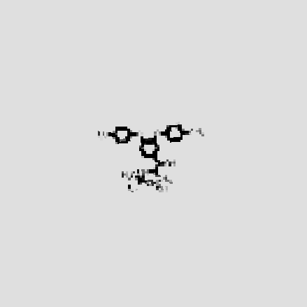 Cc1ccc(Oc2ccc(C(O)C(C)NC(C)(C)C)cc2Oc2ccc(C)cc2)cc1.Cl